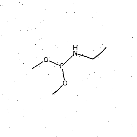 CCNP(OC)OC